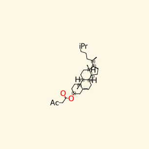 CC(=O)CC(=O)O[C@H]1CC[C@@]2(C)C(=CC[C@H]3[C@@H]4CC[C@H]([C@H](C)CCCC(C)C)[C@@]4(C)CC[C@@H]32)C1